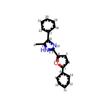 Cc1[nH]c(-c2ccc(-c3ccccc3)o2)nc1-c1ccccc1